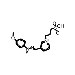 COc1ccc(N(C)N=Cc2ccc[n+](CCCS(=O)(=O)O)c2)cc1